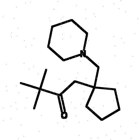 CC(C)(C)C(=O)CC1(CN2CCCCC2)CCCC1